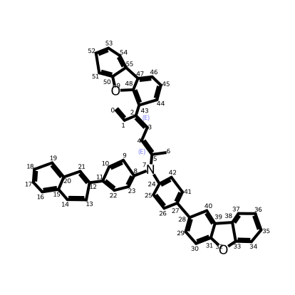 C=C/C(=C\C=C(/C)N(c1ccc(-c2ccc3ccccc3c2)cc1)c1ccc(-c2ccc3oc4ccccc4c3c2)cc1)c1cccc2c1oc1ccccc12